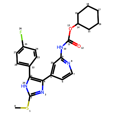 CSc1nc(-c2ccnc(NC(=O)OC3CCCCC3)c2)c(-c2ccc(F)cc2)[nH]1